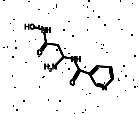 NC(CC(=O)NO)NC(=O)c1cccnc1